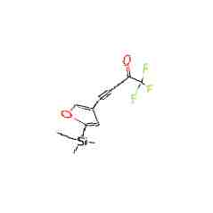 C[Si](C)(C)c1cc(C#CC(=O)C(F)(F)F)co1